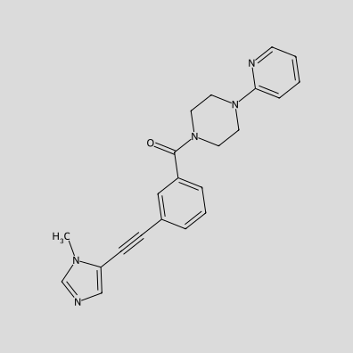 Cn1cncc1C#Cc1cccc(C(=O)N2CCN(c3ccccn3)CC2)c1